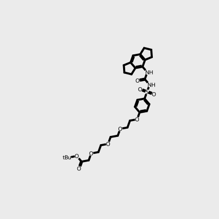 CC(C)(C)OC(=O)COCCOCCOCCOc1ccc(S(=O)(=O)NC(=O)Nc2c3c(cc4c2CCC4)CCC3)cc1